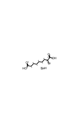 O=C(O)CCCCCCC(Br)C(=O)O.[NaH]